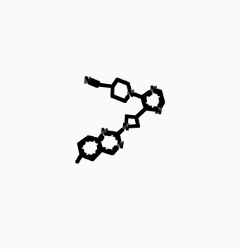 Cc1ccc2nc(N3CC(c4nccnc4N4CCC(C#N)CC4)C3)ncc2c1